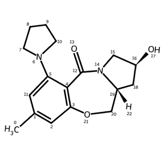 Cc1cc2c(c(N3CCCC3)c1)C(=O)N1C[C@@H](O)C[C@@H]1CO2